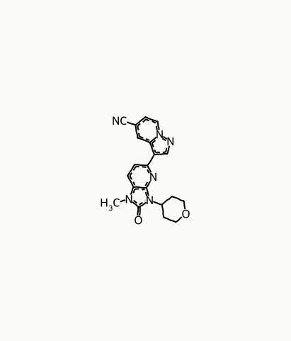 Cn1c(=O)n(C2CCOCC2)c2nc(-c3cnn4ccc(C#N)cc34)ccc21